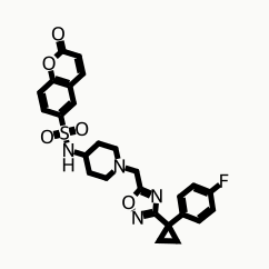 O=c1ccc2cc(S(=O)(=O)NC3CCN(Cc4nc(C5(c6ccc(F)cc6)CC5)no4)CC3)ccc2o1